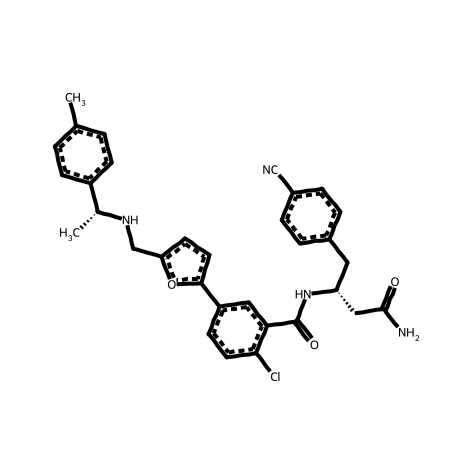 Cc1ccc([C@@H](C)NCc2ccc(-c3ccc(Cl)c(C(=O)N[C@@H](CC(N)=O)Cc4ccc(C#N)cc4)c3)o2)cc1